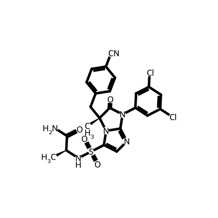 C[C@H](NS(=O)(=O)c1cnc2n1[C@](C)(Cc1ccc(C#N)cc1)C(=O)N2c1cc(Cl)cc(Cl)c1)C(N)=O